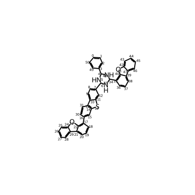 c1ccc(C2NC(c3ccc4c(c3)sc3cc(-c5cccc6c5oc5ccccc56)ccc34)NC(c3cccc4c3oc3ccccc34)N2)cc1